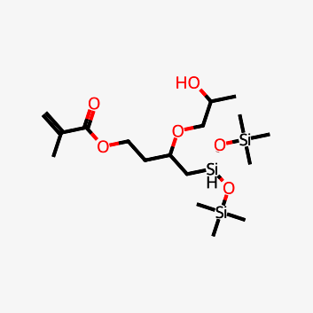 C=C(C)C(=O)OCCC(C[SiH](O[Si](C)(C)C)O[Si](C)(C)C)OCC(C)O